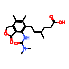 CC(=CCc1c(C)c(C)c2c(c1NC(=O)N(C)C)C(=O)OC2)CCC(=O)O